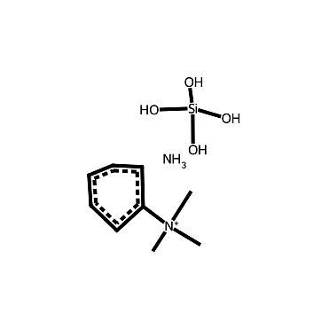 C[N+](C)(C)c1ccccc1.N.O[Si](O)(O)O